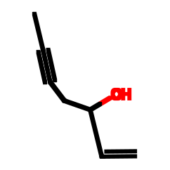 C=CC(O)CC#CC